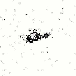 NS(=O)(=O)c1cc(-c2ccc3nc(NCc4ccc(F)cc4)nc(NCC(F)(F)F)c3n2)ccc1F